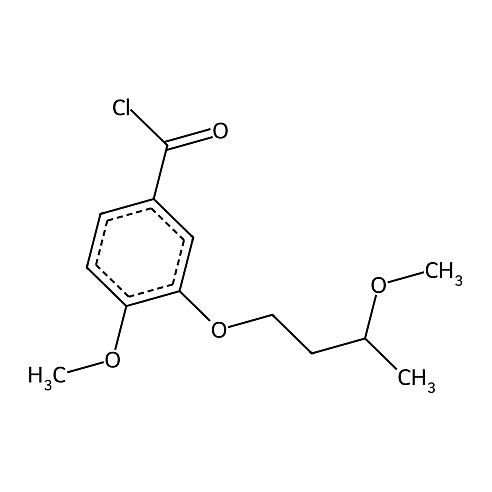 COc1ccc(C(=O)Cl)cc1OCCC(C)OC